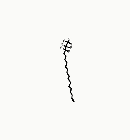 C=CCCCCCCCCCCCCCCC(F)(F)C(F)(F)C(F)(F)F